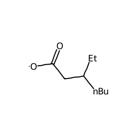 CCCCC(CC)CC([O])=O